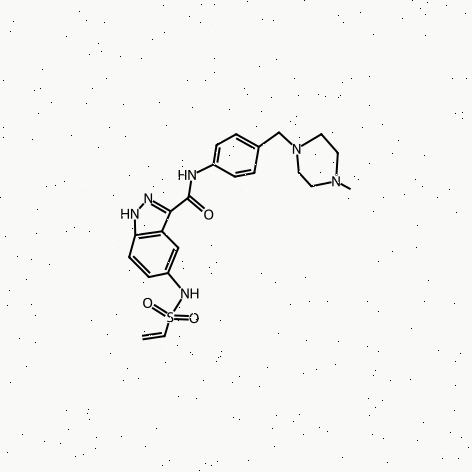 C=CS(=O)(=O)Nc1ccc2[nH]nc(C(=O)Nc3ccc(CN4CCN(C)CC4)cc3)c2c1